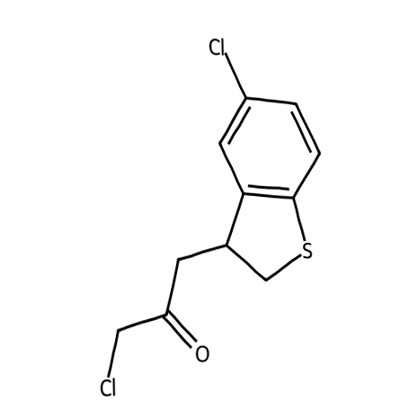 O=C(CCl)CC1CSc2ccc(Cl)cc21